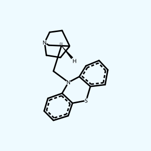 c1ccc2c(c1)Sc1ccccc1N2C[C@@H]1CN2CCC1CC2